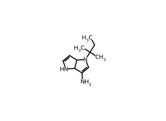 CCC(C)(C)N1C=C(N)C2NC=CC21